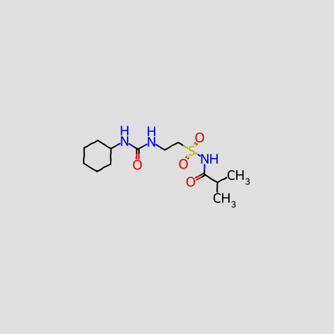 CC(C)C(=O)NS(=O)(=O)CCNC(=O)NC1CCCCC1